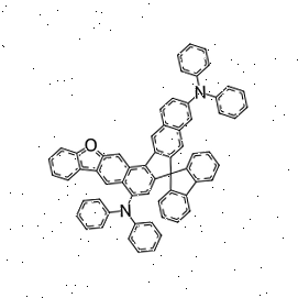 c1ccc(N(c2ccccc2)c2ccc3cc4c(cc3c2)C2(c3ccccc3-c3ccccc32)c2cc(N(c3ccccc3)c3ccccc3)c3cc5c(cc3c2-4)oc2ccccc25)cc1